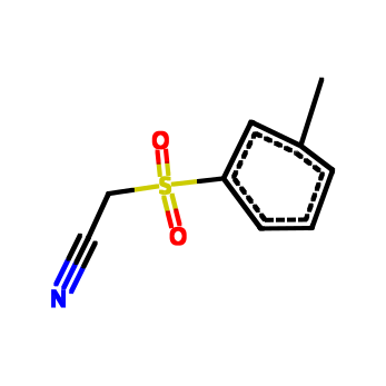 Cc1cccc(S(=O)(=O)CC#N)c1